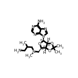 CC(CN)CN(C)C[C@H]1O[C@@H](n2cnc3c(N)ncnc32)[C@@H]2OC(C)(C)O[C@@H]21